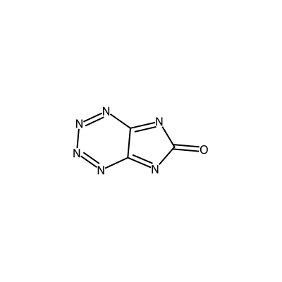 O=C1N=c2nnnnc2=N1